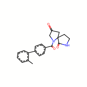 Cc1ccccc1-c1ccc(C(=O)N2CC(=O)CC23CCNC3=O)cc1